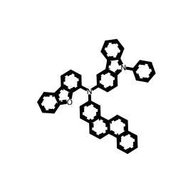 c1ccc(-n2c3ccccc3c3cc(N(c4ccc5ccc6c7ccccc7ccc6c5c4)c4cccc5c4oc4ccccc45)ccc32)cc1